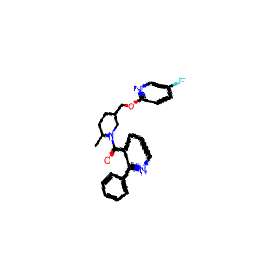 CC1CCC(COc2ccc(F)cn2)CN1C(=O)c1cccnc1-c1ccccc1